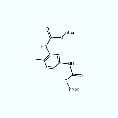 CCCCCCCCCOC(=O)Nc1ccc(C)c(NC(=O)OCCCCCCCCC)c1